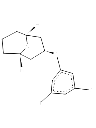 Clc1cc(Cl)cc(O[C@@H]2C[C@H]3CCC[C@@H](C2)N3)c1